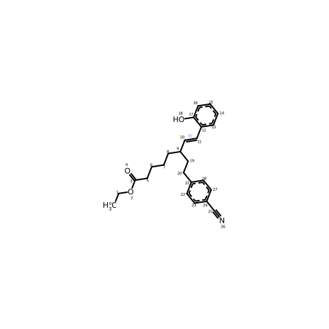 CCOC(=O)CCCCC(/C=C/c1ccccc1O)CCc1ccc(C#N)cc1